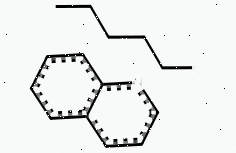 CCCCCCl.c1ccc2ncccc2c1